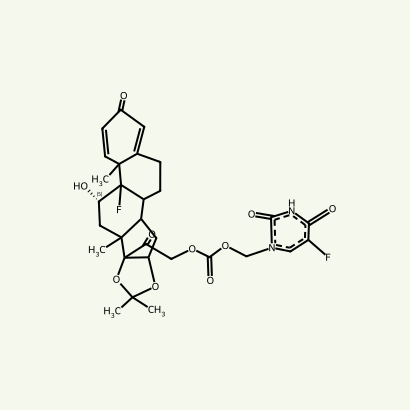 CC1(C)OC2CC3C4CCC5=CC(=O)C=CC5(C)C4(F)[C@@H](O)CC3(C)C2(C(=O)COC(=O)OCn2cc(F)c(=O)[nH]c2=O)O1